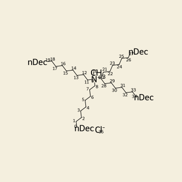 CCCCCCCCCCCCCCCCCC[N+](C)(CCCCCCCCCCCCCCCCCC)C(CCCCCCCCCCCCCCCC)CCCCCCCCCCCCCCCC.[Cl-]